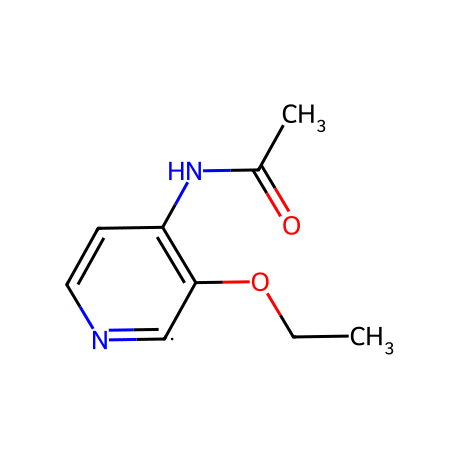 CCOc1[c]nccc1NC(C)=O